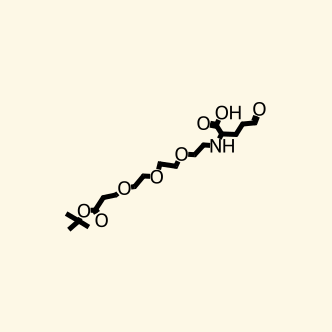 CC(C)(C)OC(=O)CCOCCOCCOCCNC(CCC=O)C(=O)O